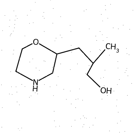 CC(CO)CC1CNCCO1